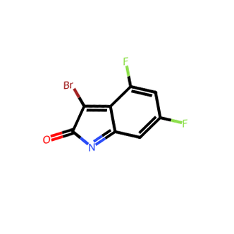 O=C1N=c2cc(F)cc(F)c2=C1Br